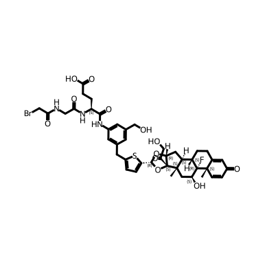 C[C@]12C=CC(=O)C=C1CC[C@H]1[C@@H]3C[C@H]4O[C@@H](c5ccc(Cc6cc(CO)cc(NC(=O)[C@H](CCC(=O)O)NC(=O)CNC(=O)CBr)c6)s5)O[C@@]4(C(=O)CO)[C@@]3(C)C[C@H](O)[C@@]12F